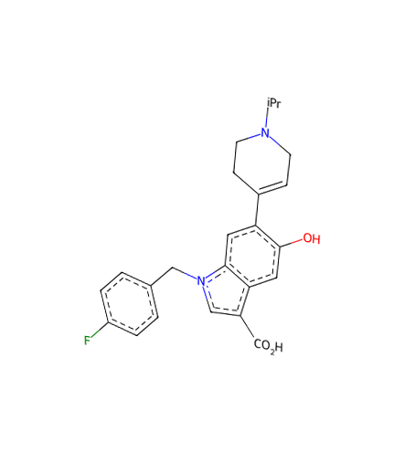 CC(C)N1CC=C(c2cc3c(cc2O)c(C(=O)O)cn3Cc2ccc(F)cc2)CC1